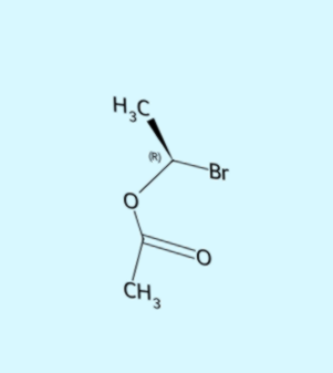 CC(=O)O[C@@H](C)Br